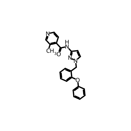 Cc1cnccc1C(=O)Nc1ccn(Cc2ccccc2Oc2ccccc2)n1